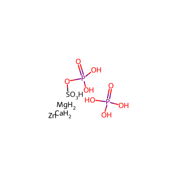 O=P(O)(O)O.O=P(O)(O)OS(=O)(=O)O.[CaH2].[MgH2].[Zn]